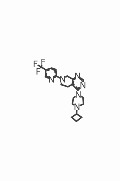 FC(F)(F)c1ccc(N2CCc3c(ncnc3N3CCN(C4CCC4)CC3)C2)nc1